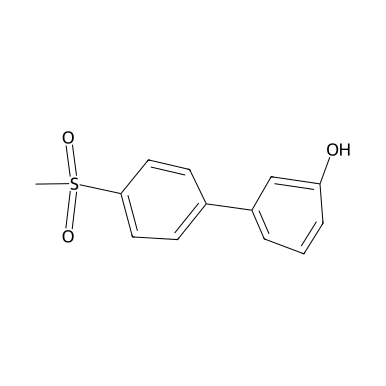 CS(=O)(=O)c1ccc(-c2cccc(O)c2)cc1